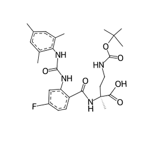 Cc1cc(C)c(NC(=O)Nc2cc(F)ccc2C(=O)N[C@@](C)(CCNC(=O)OC(C)(C)C)C(=O)O)c(C)c1